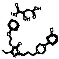 CCc1nn(CCCN2CCN(c3cccc(Cl)c3)CC2)c(=O)n1CCOc1ccccc1.O=C(O)CC(O)C(=O)O